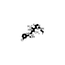 Cc1[nH]c(C(=O)N[C@H](CO)c2cccc(Cl)c2)c(C)c1-c1nc(NCCF)ncc1F